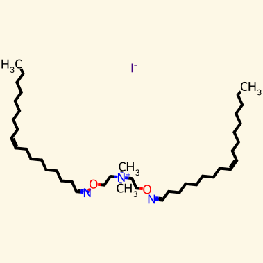 CCCCCCCC/C=C\CCCCCCC/C=N\OCC[N+](C)(C)CCO/N=C\CCCCCCC/C=C\CCCCCCCC.[I-]